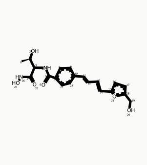 C[C@@H](O)C(NC(=O)c1ccc(/C=C/C=C/c2ccc(CO)o2)cc1)C(=O)NO